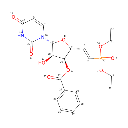 CCOP(=O)(/C=C/[C@H]1O[C@@H](n2ccc(=O)[nH]c2=O)[C@H](O)[C@@H]1OC(=O)c1ccccc1)OCC